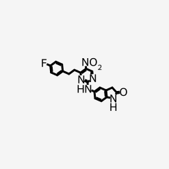 O=C1Cc2cc(Nc3ncc([N+](=O)[O-])c(CCc4ccc(F)cc4)n3)ccc2N1